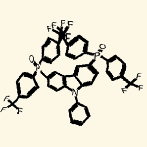 O=P(c1ccc(C(F)(F)F)cc1)(c1ccc(C(F)(F)F)cc1)c1ccc2c(c1)c1cc(P(=O)(c3ccc(C(F)(F)F)cc3)c3ccc(C(F)(F)F)cc3)ccc1n2-c1ccccc1